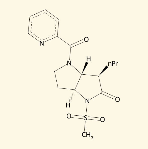 CCC[C@H]1C(=O)N(S(C)(=O)=O)[C@H]2CCN(C(=O)c3ccccn3)[C@H]12